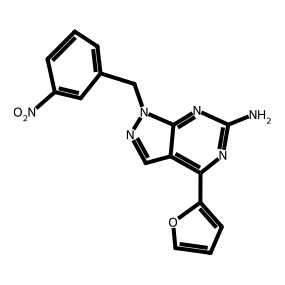 Nc1nc(-c2ccco2)c2cnn(Cc3cccc([N+](=O)[O-])c3)c2n1